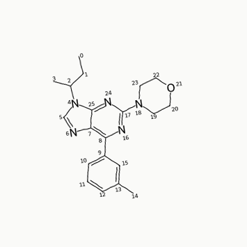 CCC(C)n1cnc2c(-c3cccc(C)c3)nc(N3CCOCC3)nc21